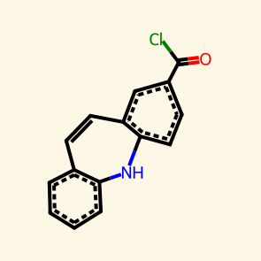 O=C(Cl)c1ccc2c(c1)C=Cc1ccccc1N2